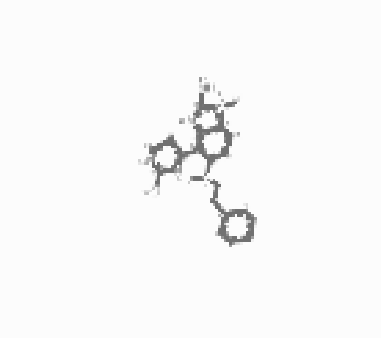 CN(CCc1ccccc1)c1ccc2c(nc(N)n2C)c1-c1ccnc(Cl)n1